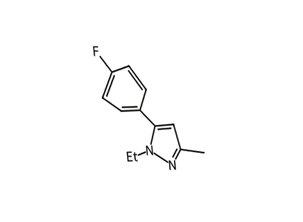 CCn1nc(C)cc1-c1ccc(F)cc1